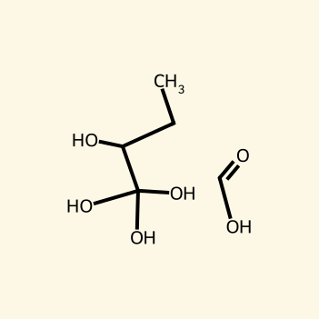 CCC(O)C(O)(O)O.O=CO